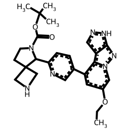 CCOc1cc(-c2ccc(C3N(C(=O)OC(C)(C)C)CCC34CNC4)nc2)c2c3cn[nH]c3nn2c1